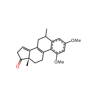 COc1cc(OC)c2c(c1)C(C)CC1=C2CC[C@]2(C)C(=O)CC=C12